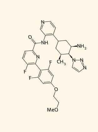 COCCOc1cc(F)c(-c2nc(C(=O)Nc3cnccc3C3C[C@@H](N)[C@@H](n4ccnn4)[C@@H](C)C3)ccc2F)c(F)c1